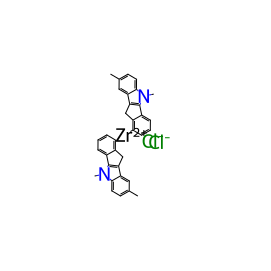 Cc1ccc2c(c1)c1c(n2C)-c2ccc[c]([Zr+2][c]3cccc4c3Cc3c-4n(C)c4ccc(C)cc34)c2C1.[Cl-].[Cl-]